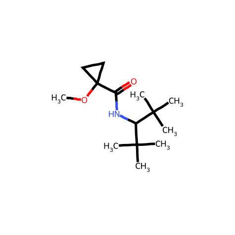 COC1(C(=O)NC(C(C)(C)C)C(C)(C)C)CC1